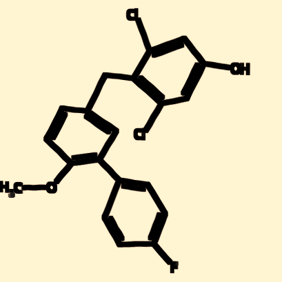 COc1ccc(Cc2c(Cl)cc(O)cc2Cl)cc1-c1ccc(F)cc1